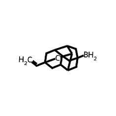 BC12CC3C4CC5(C=C)CC3C(C1)C(C5)C4C2